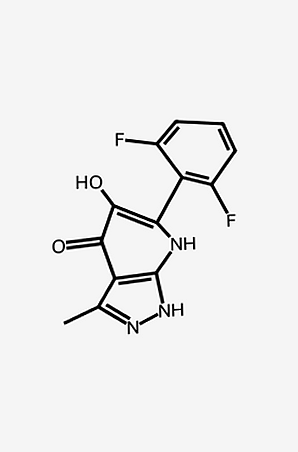 Cc1n[nH]c2[nH]c(-c3c(F)cccc3F)c(O)c(=O)c12